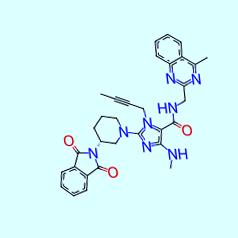 CC#CCn1c(N2CCC[C@@H](N3C(=O)c4ccccc4C3=O)C2)nc(NC)c1C(=O)NCc1nc(C)c2ccccc2n1